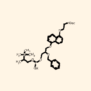 CCCCCCCCCCCCOc1cccc2c(OCC(COP(O)OCC(C)[N+](C)(C)C)OCc3ccccc3)cccc12